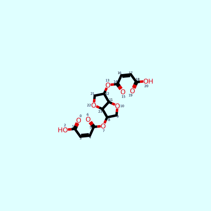 O=C(O)/C=C\C(=O)OC1COC2C(OC(=O)/C=C\C(=O)O)COC12